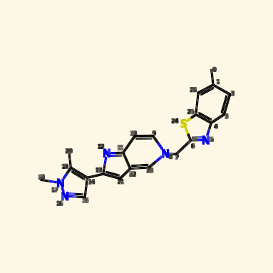 Cc1ccc2nc(Cn3ccc4nc(-c5cnn(C)c5C)cc-4c3)sc2c1